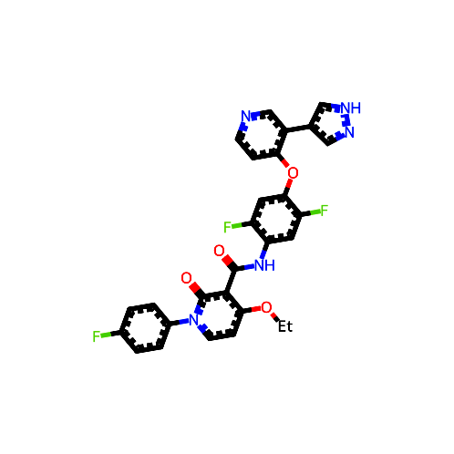 CCOc1ccn(-c2ccc(F)cc2)c(=O)c1C(=O)Nc1cc(F)c(Oc2ccncc2-c2cn[nH]c2)cc1F